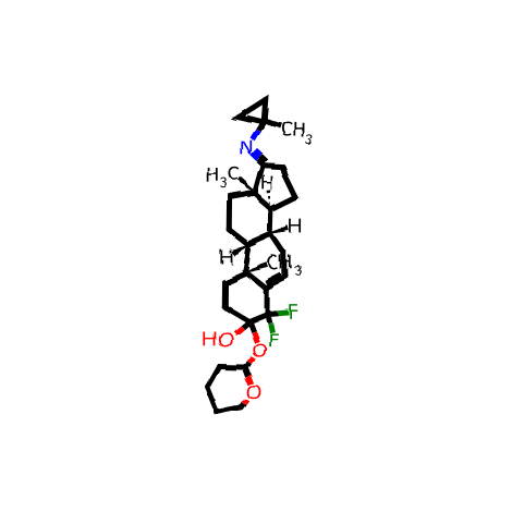 CC1(N=C2CC[C@H]3[C@@H]4CC=C5C(F)(F)C(O)(OC6CCCCO6)CC[C@]5(C)[C@@H]4CC[C@]23C)CC1